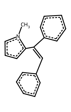 Cn1cccc1/C(=C\c1ccccc1)c1ccccc1